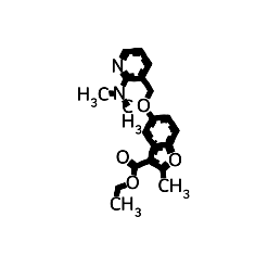 CCOC(=O)c1c(C)oc2ccc(OCc3cccnc3N(C)C)cc12